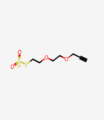 C#CCOCCOCCS[SH](=O)=O